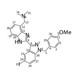 COc1ccc(Cn2nc(-c3nc4c(CN(C)C)cccc4[nH]3)c3cc(I)ccc32)cc1